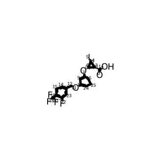 O=C(O)[C@@H]1[C@@H](I)[C@H]1OC1=CC(OCc2ccc(C(F)(F)F)c(F)c2)=CCC1